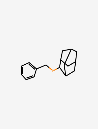 c1ccc(C[P]C2C3CC4CC(C3)CC2C4)cc1